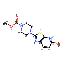 CC(C)OC(=O)N1CCN(c2nc3ccc(Br)nc3s2)CC1